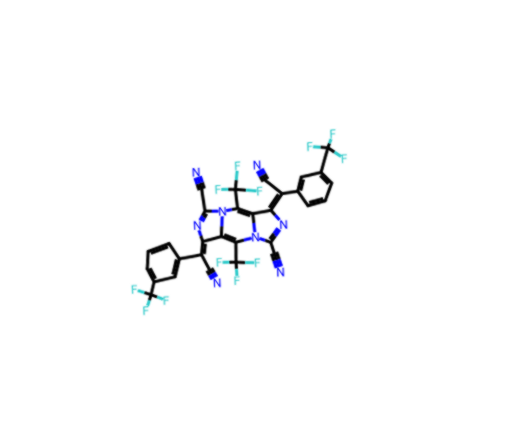 N#C/C(c1cccc(C(F)(F)F)c1)=c1/nc(C#N)n2c(C(F)(F)F)c3/c(=C(\C#N)c4cccc(C(F)(F)F)c4)nc(C#N)n3c(C(F)(F)F)c12